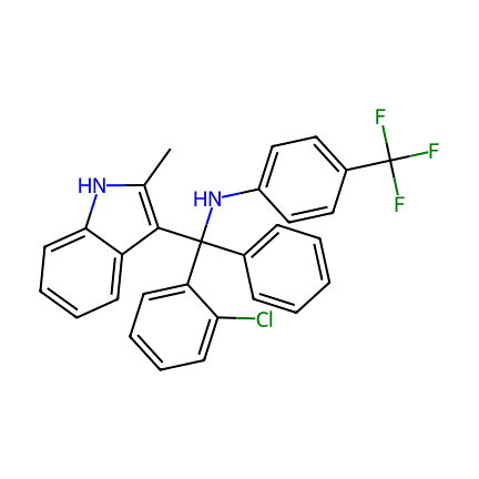 Cc1[nH]c2ccccc2c1C(Nc1ccc(C(F)(F)F)cc1)(c1ccccc1)c1ccccc1Cl